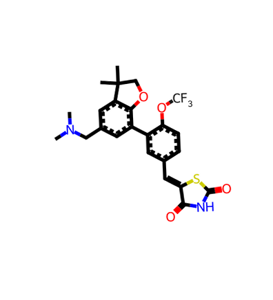 CN(C)Cc1cc(-c2cc(/C=C3\SC(=O)NC3=O)ccc2OC(F)(F)F)c2c(c1)C(C)(C)CO2